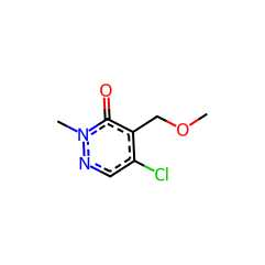 COCc1c(Cl)cnn(C)c1=O